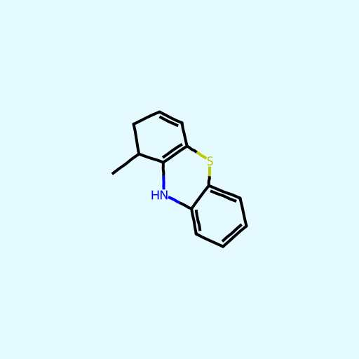 CC1CC=CC2=C1Nc1ccccc1S2